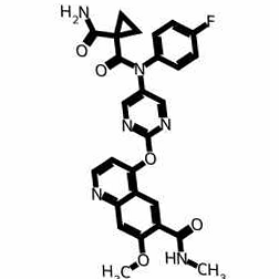 CNC(=O)c1cc2c(Oc3ncc(N(C(=O)C4(C(N)=O)CC4)c4ccc(F)cc4)cn3)ccnc2cc1OC